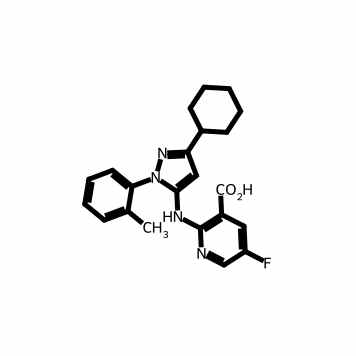 Cc1ccccc1-n1nc(C2CCCCC2)cc1Nc1ncc(F)cc1C(=O)O